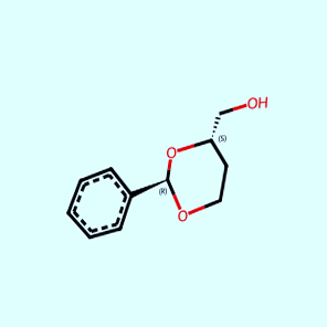 OC[C@@H]1CCO[C@@H](c2ccccc2)O1